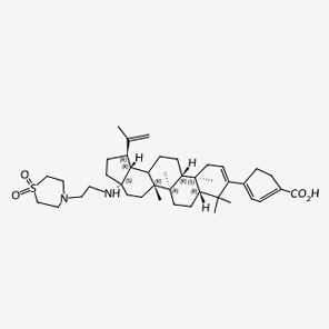 C=C(C)[C@@H]1CC[C@]2(NCCN3CCS(=O)(=O)CC3)CC[C@]3(C)C(CC[C@@H]4[C@@]5(C)CC=C(C6=CC=C(C(=O)O)CC6)C(C)(C)[C@@H]5CC[C@]43C)[C@@H]12